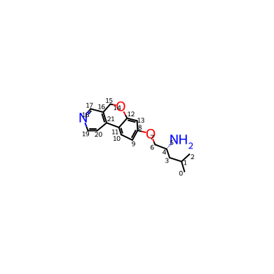 CC(C)C[C@@H](N)COc1ccc2c(c1)OCc1cnccc1-2